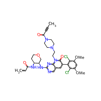 C=CC(=O)N[C@H]1CCOC[C@H]1Nc1ncc2cc(-c3c(Cl)c(OC)cc(OC)c3Cl)c(=O)n(CCN3CCN(C(=O)C#CC)CC3)c2n1